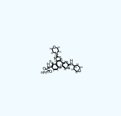 CCCS(=O)(=O)Nc1ccc(F)c(-c2nc(N3CCOCC3)sc2-c2ccnc(NC3CCOCC3)n2)c1F